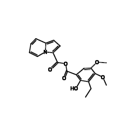 CCc1c(O)c(C(=O)OC(=O)c2ccc3ccccn23)cc(OC)c1OC